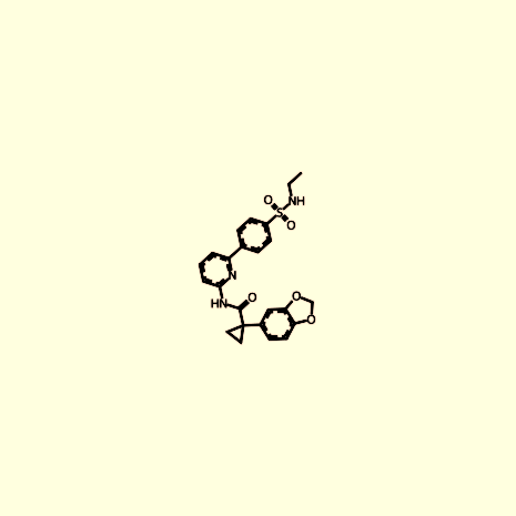 CCNS(=O)(=O)c1ccc(-c2cccc(NC(=O)C3(c4ccc5c(c4)OCO5)CC3)n2)cc1